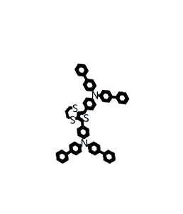 c1ccc(-c2ccc(N(c3ccc(-c4ccccc4)cc3)c3ccc(-c4sc(-c5ccc(N(c6ccc(-c7ccccc7)cc6)c6ccc(-c7ccccc7)cc6)cc5)c5c4SCCCS5)cc3)cc2)cc1